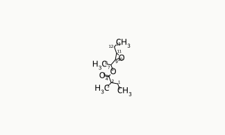 CCC(C)C(=O)OC(C)C1OC1CC